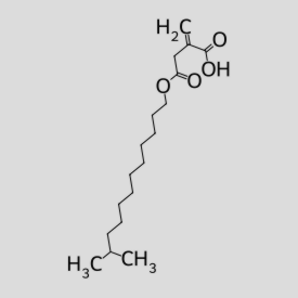 C=C(CC(=O)OCCCCCCCCCCC(C)C)C(=O)O